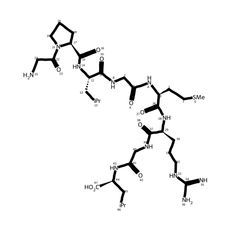 CSCC[C@H](NC(=O)CNC(=O)[C@H](CC(C)C)NC(=O)[C@@H]1CCCN1C(=O)CN)C(=O)N[C@@H](CCCNC(=N)N)C(=O)NCC(=O)N[C@@H](CC(C)C)C(=O)O